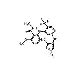 CNC(=O)c1c(Nc2cc(Nc3cn(C)nc3C)ncc2C(F)(F)F)cccc1OC